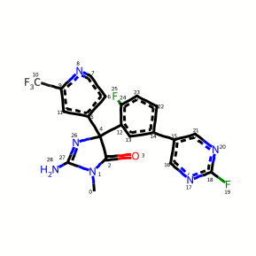 CN1C(=O)C(c2ccnc(C(F)(F)F)c2)(c2cc(-c3cnc(F)nc3)ccc2F)N=C1N